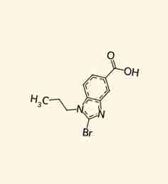 CCCn1c(Br)nc2cc(C(=O)O)ccc21